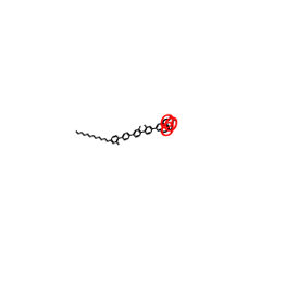 CCCCCCCCCCCCc1ccc(-c2ccc(-c3ccc(-c4ccc(-c5ccc([Si](OCC)(OCC)OCC)cc5)cc4C)c(C)c3)cc2)c(C)c1